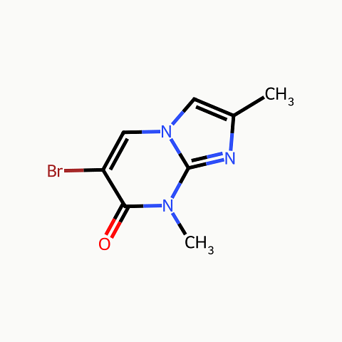 Cc1cn2cc(Br)c(=O)n(C)c2n1